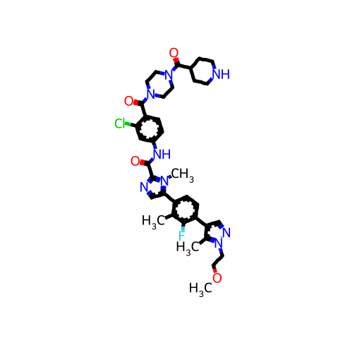 COCCn1ncc(-c2ccc(-c3cnc(C(=O)Nc4ccc(C(=O)N5CCN(C(=O)C6CCNCC6)CC5)c(Cl)c4)n3C)c(C)c2F)c1C